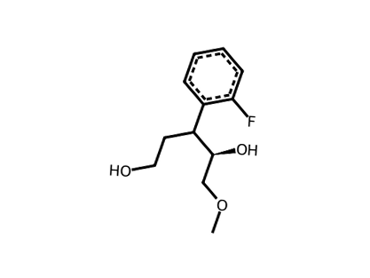 COC[C@H](O)C(CCO)c1ccccc1F